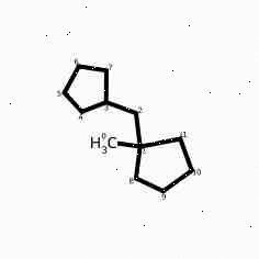 CC1(CC2CCCC2)CCCC1